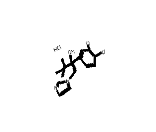 CC(C)(C)C(O)(Cn1ccnc1)c1ccc(Cl)c(Cl)c1.Cl